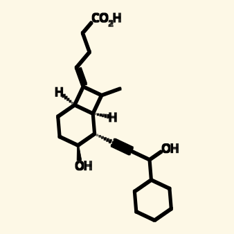 CC1C(=CCCC(=O)O)[C@@H]2CC[C@H](O)[C@@H](C#CC(O)C3CCCCC3)[C@H]12